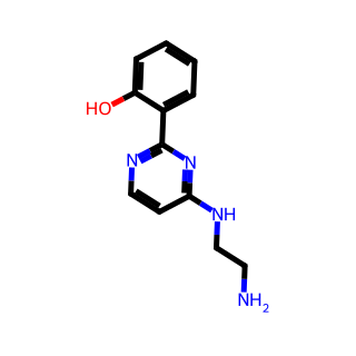 NCCNc1ccnc(-c2ccccc2O)n1